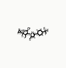 CC1=C(n2nc(-c3ccc(C(F)(F)F)cc3)cc2C)C(=O)NC1(C)C1CC1